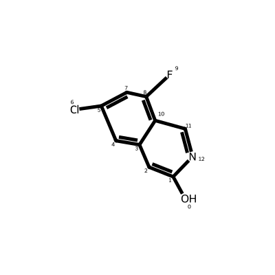 Oc1cc2cc(Cl)cc(F)c2cn1